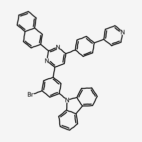 Brc1cc(-c2cc(-c3ccc(-c4ccncc4)cc3)nc(-c3ccc4ccccc4c3)n2)cc(-n2c3ccccc3c3ccccc32)c1